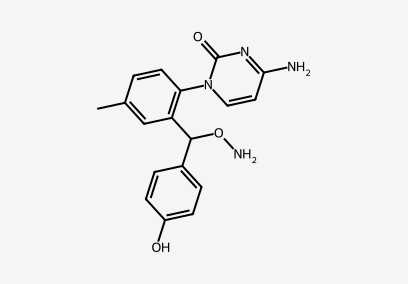 Cc1ccc(-n2ccc(N)nc2=O)c(C(ON)c2ccc(O)cc2)c1